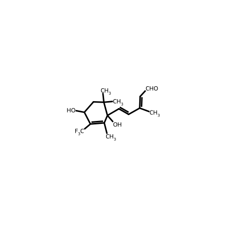 CC(C=CC1(O)C(C)=C(C(F)(F)F)C(O)CC1(C)C)=CC=O